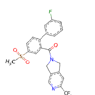 CS(=O)(=O)c1ccc(-c2cccc(F)c2)c(C(=O)N2Cc3cnc(C(F)(F)F)cc3C2)c1